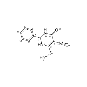 [C-]#[N+]C1=C(SC)NC(c2ccccc2)NC1=O